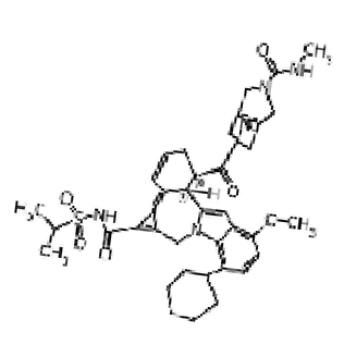 CNC(=O)N1CC23CCC2(C1)CN(C(=O)[C@@H]1CC=CC2=C4C(=C4C(=O)NS(=O)(=O)C(C)C)Cn4c(cc5c(OC)ccc(C6CCCCC6)c54)[C@H]21)C3